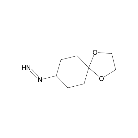 N=NC1CCC2(CC1)OCCO2